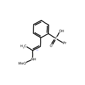 CON/C(C)=C/c1ccccc1P(=O)(O)C(C)C